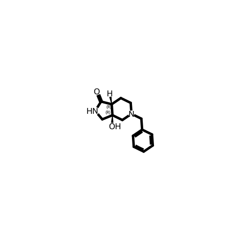 O=C1NC[C@@]2(O)CN(Cc3ccccc3)CC[C@@H]12